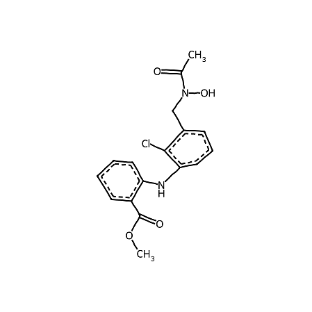 COC(=O)c1ccccc1Nc1cccc(CN(O)C(C)=O)c1Cl